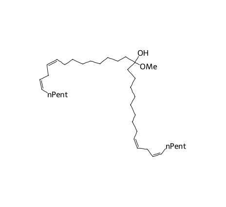 CCCCC/C=C\C/C=C\CCCCCCCCC(O)(CCCCCCCC/C=C\C/C=C\CCCCC)OC